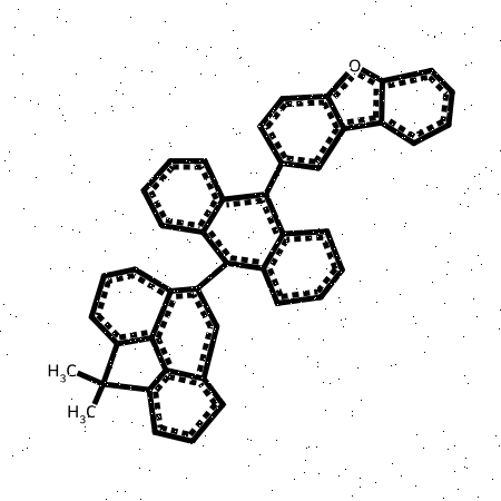 CC1(C)c2cccc3cc(-c4c5ccccc5c(-c5ccc6oc7ccccc7c6c5)c5ccccc45)c4cccc1c4c23